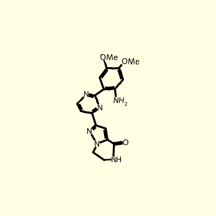 COc1cc(N)c(-c2nccc(-c3cc4n(n3)CCNC4=O)n2)cc1OC